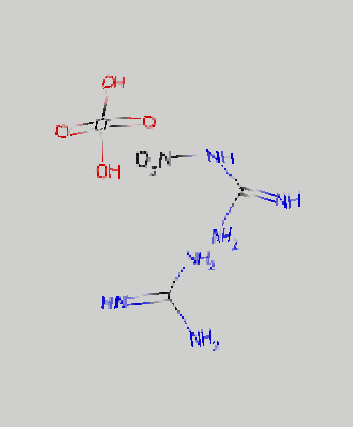 N=C(N)N.N=C(N)N[N+](=O)[O-].[O]=[Cr](=[O])([OH])[OH]